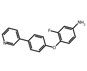 Nc1ccc(Oc2ccc(-c3cccnc3)cc2)c(F)c1